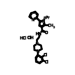 CCCn1c(-c2ccccn2)cc(C(=O)NCCN2CCN(c3cccc(Cl)c3Cl)CC2)c1C.Cl.Cl